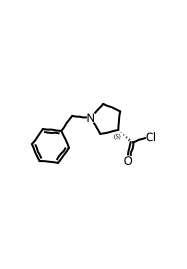 O=C(Cl)[C@H]1CCN(Cc2ccccc2)C1